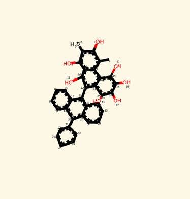 Bc1c(O)c(C)c2c(c1O)c(O)c(-c1c3ccccc3c(-c3ccccc3)c3ccccc13)c1c(O)c(O)c(O)c(O)c12